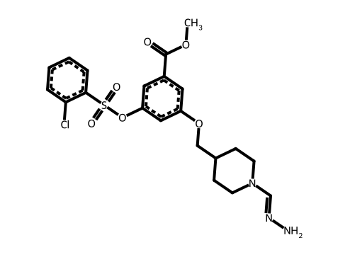 COC(=O)c1cc(OCC2CCN(C=NN)CC2)cc(OS(=O)(=O)c2ccccc2Cl)c1